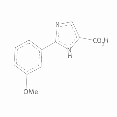 COc1cccc(-c2ncc(C(=O)O)[nH]2)c1